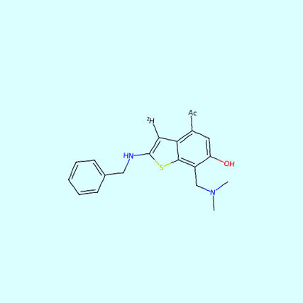 [2H]c1c(NCc2ccccc2)sc2c(CN(C)C)c(O)cc(C(C)=O)c12